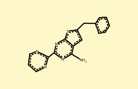 Nc1nc(-c2ncccn2)nc2sc(Cc3ccccc3)cc12